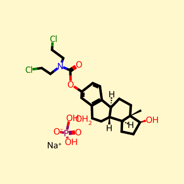 C[C@]12CC[C@@H]3c4ccc(OC(=O)N(CCCl)CCCl)cc4CC[C@H]3[C@@H]1CC[C@@H]2O.O.O=P([O-])(O)O.[Na+]